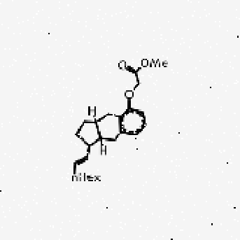 CCCCCC/C=C/C1CC[C@@H]2Cc3c(cccc3OCC(=O)OC)C[C@H]12